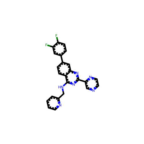 Fc1ccc(-c2ccc3c(NCc4ccccn4)nc(-c4cnccn4)nc3c2)cc1F